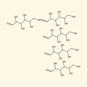 O=CC(O)C(O)C(O)C(O)CO.O=CC(O)C(O)C(O)C(O)CO.O=CC(O)C(O)C(O)C(O)CO.O=CC(O)C(O)C(O)C(O)CO.O=CC(O)C(O)C(O)C(O)CO